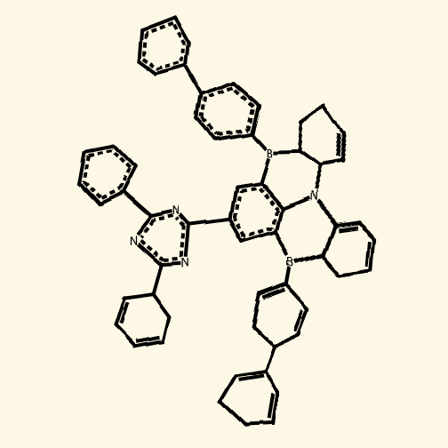 C1=CCC2B(C3=CCC(C4=CCCC=C4)C=C3)c3cc(-c4nc(-c5ccccc5)nc(C5C=CC=CC5)n4)cc4c3N(C2=C1)C1C=CCCC1B4c1ccc(-c2ccccc2)cc1